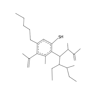 C=C(C)c1c(CCCCC)cc(S)c(C(C(C)C(=C)C)C(CC)C(C)CC)c1C